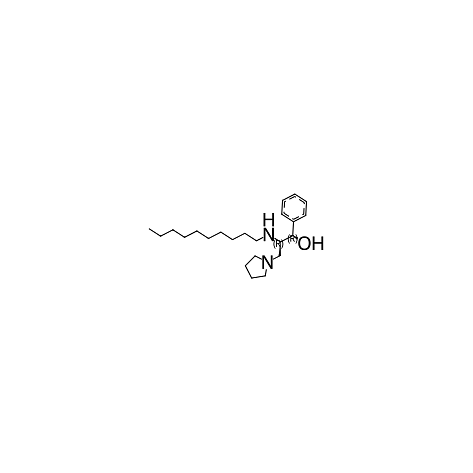 CCCCCCCCCCN[C@H](CN1CCCC1)[C@H](O)c1ccccc1